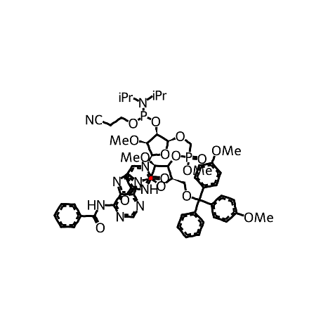 COc1ccc(C(OC[C@H]2O[C@@H](n3cnc4c(NC(=O)c5ccccc5)ncnc43)[C@@H](OC)C2OP(=O)(CO[C@H]2O[C@@H](n3ccc(=O)[nH]c3=O)[C@@H](OC)[C@H]2OP(OCCC#N)N(C(C)C)C(C)C)OC)(c2ccccc2)c2ccc(OC)cc2)cc1